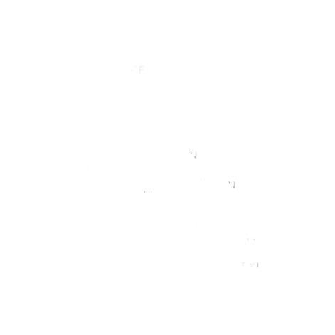 CC(C)(C)OC(=O)[N+]1(C)C=CN(c2cc(C(F)(F)F)cc(C(F)(F)F)c2O)C1=O